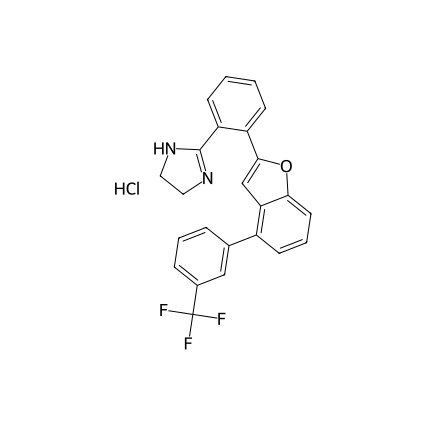 Cl.FC(F)(F)c1cccc(-c2cccc3oc(-c4ccccc4C4=NCCN4)cc23)c1